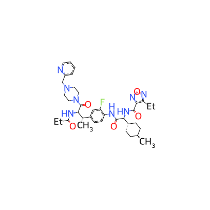 CCC(=O)N[C@@H](C(=O)N1CCN(Cc2ccccn2)CC1)[C@@H](C)c1ccc(NC(=O)[C@@H](NC(=O)c2nonc2CC)[C@H]2CC[C@H](C)CC2)c(F)c1